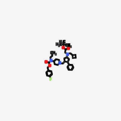 CCCN(C(=O)OCc1ccc(F)cc1)C1CCN(CC2CC(N(CC(=O)OC(C)(C)C)CC3CCC3)CC2c2ccccc2)CC1